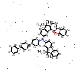 CC1(C)C2=C(c3cc(N(c4ccc(-c5ccc(-c6ccccc6)cc5)cc4)c4ccc5c(c4)C(C)(C)c4ccccc4-5)ccc31)c1oc3ccccc3c1CC2